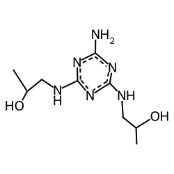 CC(O)CNc1nc(N)nc(NCC(C)O)n1